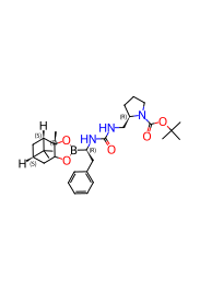 CC(C)(C)OC(=O)N1CCC[C@@H]1CNC(=O)N[C@@H](Cc1ccccc1)B1OC2C[C@@H]3C[C@@H](C3(C)C)[C@]2(C)O1